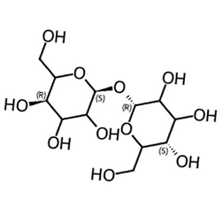 OCC1O[C@H](O[C@@H]2OC(CO)[C@H](O)C(O)C2O)C(O)C(O)[C@@H]1O